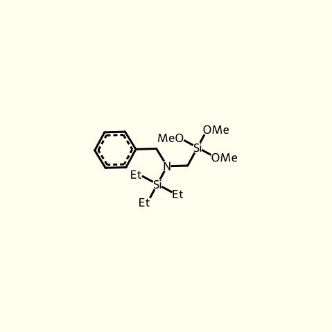 CC[Si](CC)(CC)N(Cc1ccccc1)C[Si](OC)(OC)OC